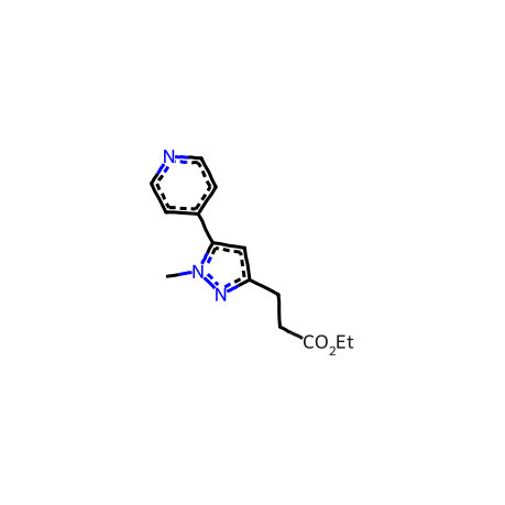 CCOC(=O)CCc1cc(-c2ccncc2)n(C)n1